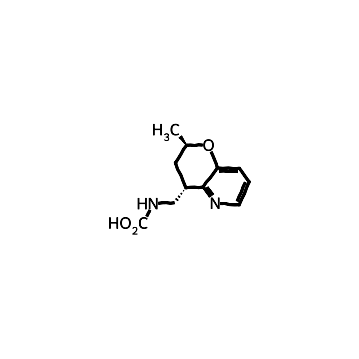 C[C@@H]1C[C@@H](CNC(=O)O)c2ncccc2O1